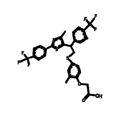 Cc1cc(SCC(c2ccc(C(F)(F)F)cc2)c2sc(-c3ccc(C(F)(F)F)cc3)nc2C)ccc1OCC(=O)O